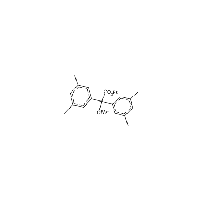 CCOC(=O)C(OC)(c1cc(C)cc(C)c1)c1cc(C)cc(C)c1